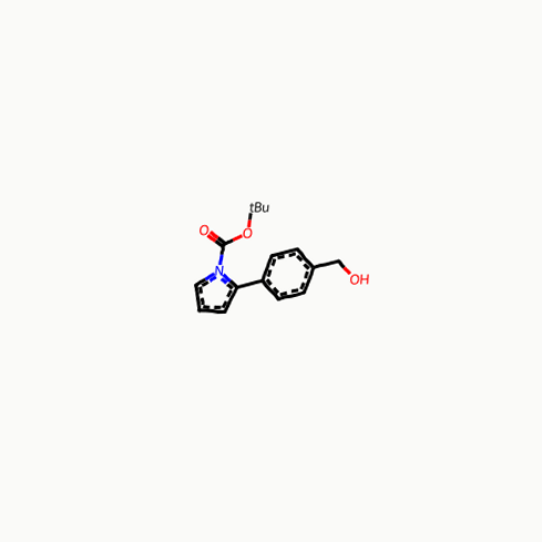 CC(C)(C)OC(=O)n1cccc1-c1ccc(CO)cc1